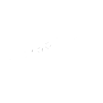 CCCCCCCC[C@H]1CC[C@H](c2cnc(-c3ccc(OC(=O)C4CSC(CCCCC)SC4)cc3)nc2)CC1